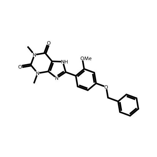 COc1cc(OCc2ccccc2)ccc1-c1nc2c([nH]1)c(=O)n(C)c(=O)n2C